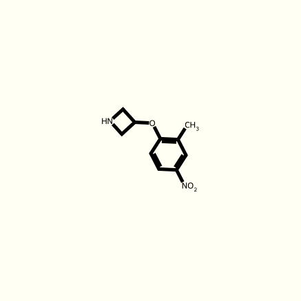 Cc1cc([N+](=O)[O-])ccc1OC1CNC1